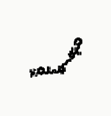 O=C(NCc1ccccn1)c1cn(CCCCc2nnc(COCNCc3cccc(OC(F)(F)F)c3)s2)nn1